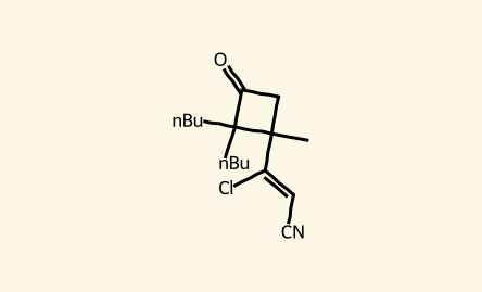 CCCCC1(CCCC)C(=O)CC1(C)C(Cl)=CC#N